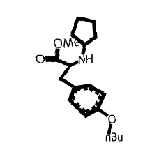 CCCCOc1ccc(CC(NC2CCCC2)C(=O)OC)cc1